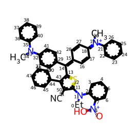 CCN(c1ccccc1[N+](=O)O)c1sc(C(=C2C=CC(=[N+](C)c3ccccc3)C=C2)c2ccc(N(C)c3ccccc3)cc2)c(-c2ccccc2)c1C#N